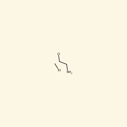 CCC.NCCCl